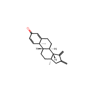 C=C1C[C@@]2(C)CC[C@H]3[C@@H](CCC4=CC(=O)C=C[C@@]43C)[C@@H]2C1=C